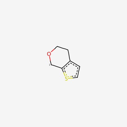 [C]1OCCc2ccsc21